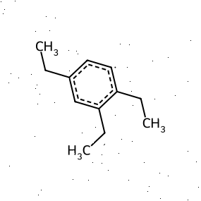 CCc1c[c]c(CC)c(CC)c1